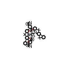 CC1(C)c2ccccc2-c2cc3c(cc21)N(c1sc(-c2nc4cc5ocnc5cc4o2)c(N2c4ccccc4C(C)(C)c4cc5c(cc42)C(C)(C)c2ccccc2-5)c1-c1nc2cc4ocnc4cc2o1)c1ccccc1C3(C)C